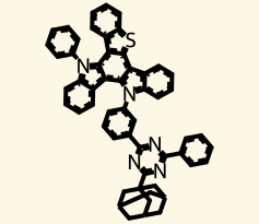 c1ccc(-c2nc(-c3cccc(-n4c5ccccc5c5c6sc7ccccc7c6c6c(c7ccccc7n6-c6ccccc6)c54)c3)nc(C34CC5CC(CC(C5)C3)C4)n2)cc1